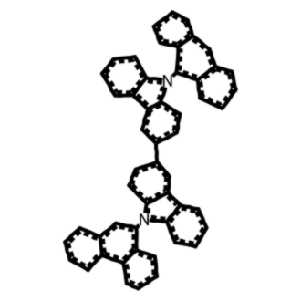 c1ccc2c(-n3c4ccccc4c4cc(-c5ccc6c(c5)c5ccccc5n6-c5cc6ccccc6c6ccccc56)ccc43)c3ccccc3cc2c1